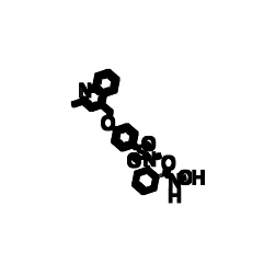 Cc1cc(COc2ccc(S(=O)(=O)N(C)[C@H]3CC=CC[C@H]3C(=O)NO)cc2)c2ccccc2n1